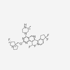 C[C@H]1CN(c2nc(OC[C@@]34CCCN3C[C@H](F)C4)nc3c(C(F)F)c(-c4nccc5c4CCC5(F)F)ncc23)CCN1